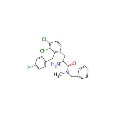 CN(Cc1ccccc1)C(=O)C(N)Cc1ccc(Cl)c(Cl)c1Cc1ccc(F)cc1